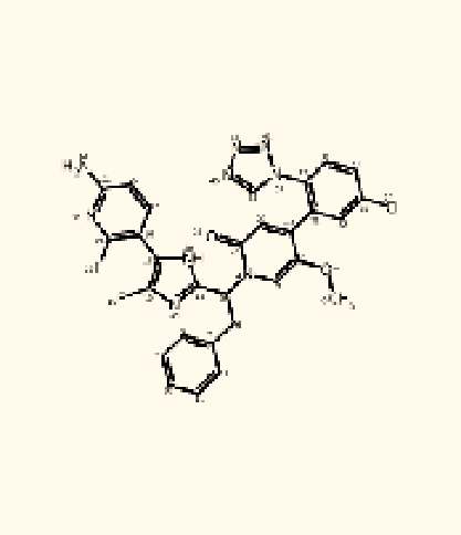 COc1cn(C(Cc2ccccc2)c2nc(F)c(-c3ccc(N)nc3F)[nH]2)c(=O)cc1-c1cc(Cl)ccc1-n1cnnn1